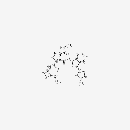 CNc1cc(-c2cn([C@H]3CCN(C)C3)c3ncccc23)nc2c(C(=O)NC3CC[C@@H]3OC)cnn12